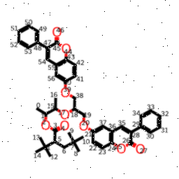 CC(OC(=O)C(CC(C)(C)C)C(C)(C)C)C(C)OC(COc1ccc2oc(=O)c(-c3ccccc3)cc2c1)COc1ccc2oc(=O)c(-c3ccccc3)cc2c1